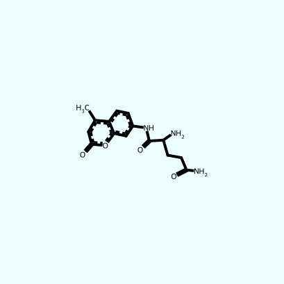 Cc1cc(=O)oc2cc(NC(=O)C(N)CCC(N)=O)ccc12